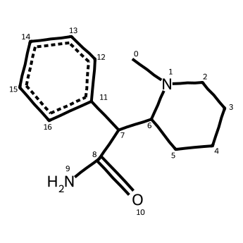 CN1CCCCC1C(C(N)=O)c1ccccc1